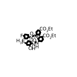 CCOC(=O)c1ccc(NC(=O)Nc2ccc(F)c(C)c2)cc1.CCOC(=O)c1ccc(NC(=O)Nc2ccc(F)cc2Cl)cc1